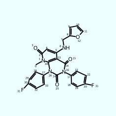 Cn1c(=O)cc(NCc2ccco2)c2c(=O)n(-c3ccc(F)cc3)c(=O)n(-c3ccc(F)cc3)c21